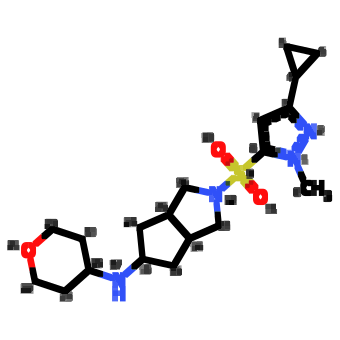 Cn1nc(C2CC2)cc1S(=O)(=O)N1CC2CC(NC3CCOCC3)CC2C1